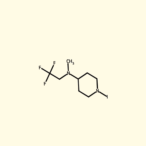 CN(CC(F)(F)F)C1CCN(I)CC1